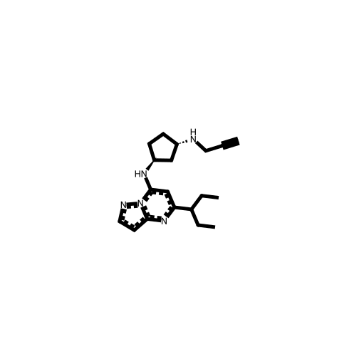 C#CCN[C@H]1CC[C@H](Nc2cc(C(CC)CC)nc3ccnn23)C1